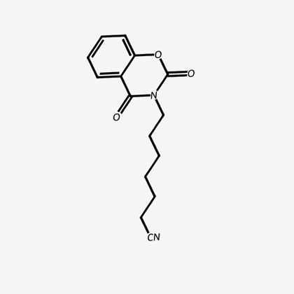 N#CCCCCCCn1c(=O)oc2ccccc2c1=O